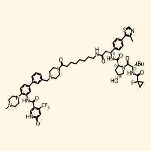 Cc1ncsc1-c1ccc([C@H](CC(=O)NCCCCCCCC(=O)N2CCN(Cc3cccc(-c4ccc(N5CCN(C)CC5)c(NC(=O)c5c[nH]c(=O)cc5C(F)(F)F)c4)c3)CC2)NC(=O)[C@@H]2C[C@@H](O)CN2C(=O)[C@@H](NC(=O)C2(F)CC2)C(C)(C)C)cc1